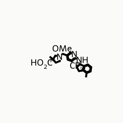 COc1nc(N[C@H]2CCc3c(C)cccc32)c(C(F)(F)F)cc1CN1CC[C@@](C)(C(=O)O)C1